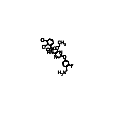 CCOc1nc(Oc2ccc(CN)c(F)c2)cnc1NS(=O)(=O)c1cccc(Cl)c1Cl